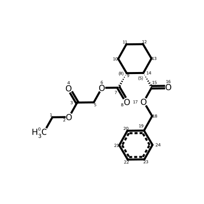 CCOC(=O)COC(=O)[C@@H]1CCCC[C@@H]1C(=O)OCc1ccccc1